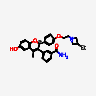 CCC1CN(CCOc2ccc([C@@H]3Oc4ccc(O)cc4C(C)=C3c3cccc(C(N)=O)c3)cc2)C1